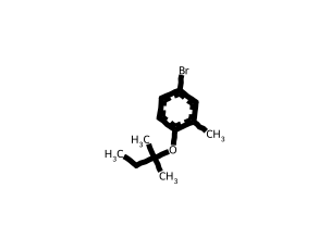 CCC(C)(C)Oc1ccc(Br)cc1C